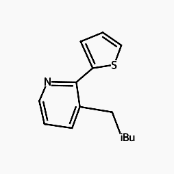 C[CH]C(C)Cc1cccnc1-c1cccs1